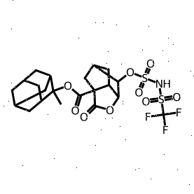 CC1(OC(=O)C23CC4CC2C(OC3=O)C4OS(=O)(=O)NS(=O)(=O)C(F)(F)F)C2CC3CC(C2)CC1C3